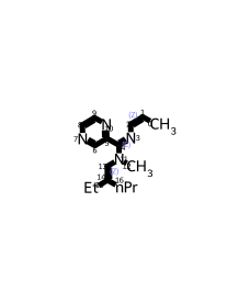 C/C=C\N=C(/c1cnccn1)N(C)/C=C(/CC)CCC